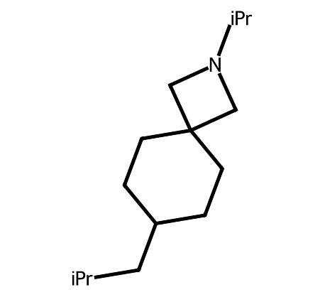 CC(C)CC1CCC2(CC1)CN(C(C)C)C2